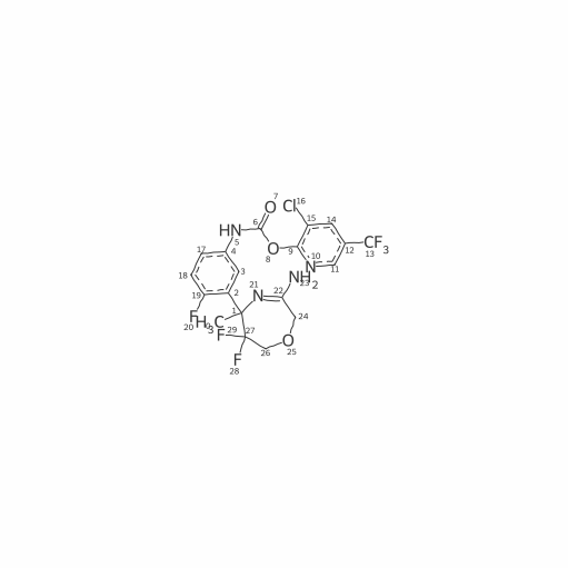 CC1(c2cc(NC(=O)Oc3ncc(C(F)(F)F)cc3Cl)ccc2F)N=C(N)COCC1(F)F